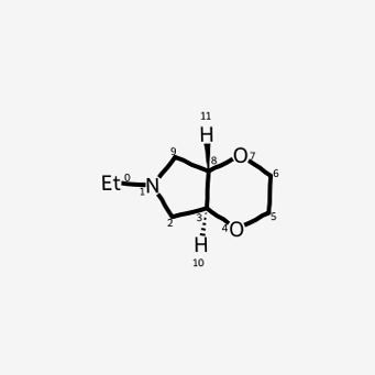 CCN1C[C@@H]2OCCO[C@H]2C1